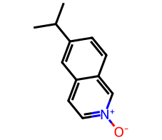 CC(C)c1ccc2c[n+]([O-])ccc2c1